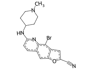 CN1CCC(Nc2ccc3cc4oc(C#N)cc4c(Br)c3n2)CC1